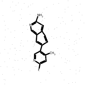 Cc1cc(F)ncc1-c1ccc2cc(N)ncc2c1